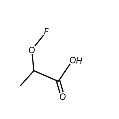 CC(OF)C(=O)O